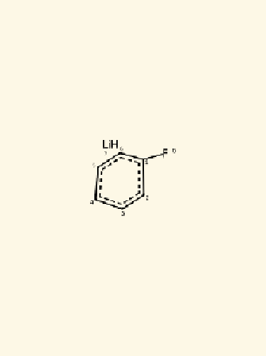 Fc1[c]cccc1.[LiH]